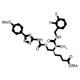 COC(=O)CCC[C@@H](COC(=O)Nc1nnc(-c2ccc(OC)cc2)s1)N(C)C(=O)NCc1cccc(F)c1F